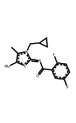 Cc1c(C(C)(C)C)s/c(=N\C(=O)c2cc(F)ccc2F)n1CC1CC1